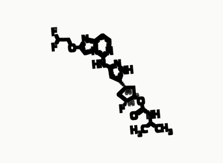 CC(C)NC(=O)O[C@H]1C[C@@H](c2cc(Nc3nccc4nc(OCC(F)F)cn34)n[nH]2)C[C@H]1F